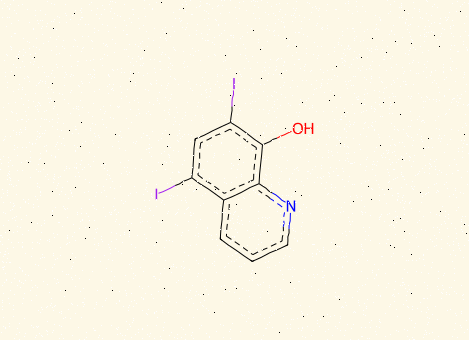 Oc1c(I)cc(I)c2cccnc12